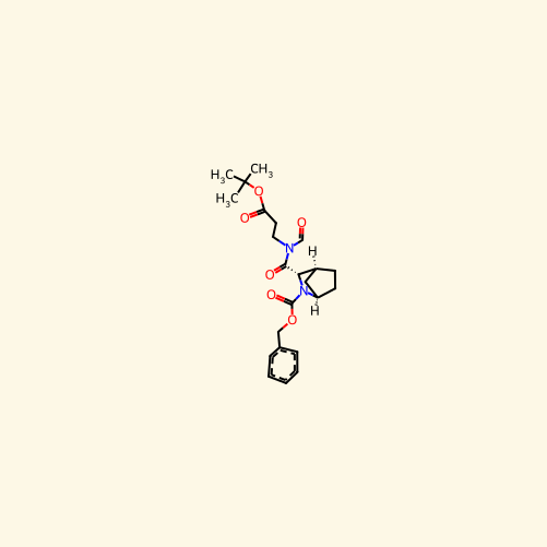 CC(C)(C)OC(=O)CCN(C=O)C(=O)[C@@H]1[C@H]2CC[C@H](C2)N1C(=O)OCc1ccccc1